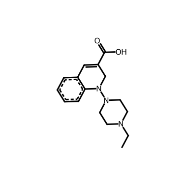 CCN1CCN(N2CC(C(=O)O)=Cc3ccccc32)CC1